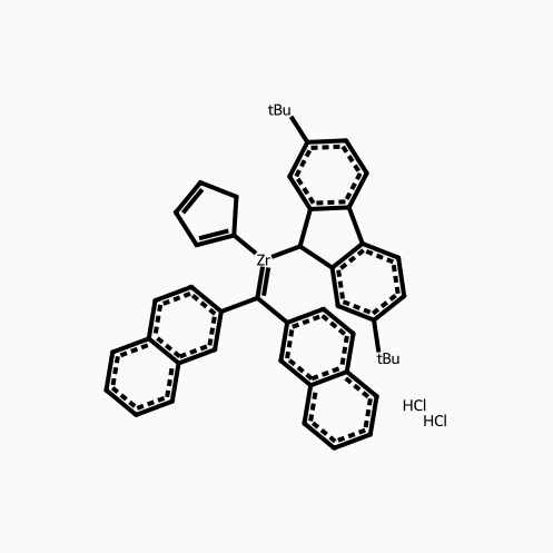 CC(C)(C)c1ccc2c(c1)[CH]([Zr]([C]1=CC=CC1)=[C](c1ccc3ccccc3c1)c1ccc3ccccc3c1)c1cc(C(C)(C)C)ccc1-2.Cl.Cl